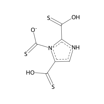 [O-]C(=S)[n+]1c(C(O)=S)c[nH]c1C(O)=S